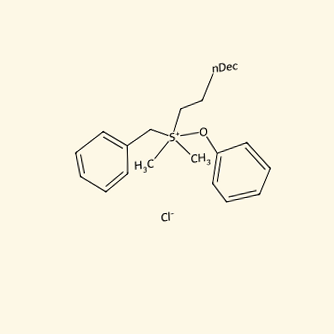 CCCCCCCCCCCC[S+](C)(C)(Cc1ccccc1)Oc1ccccc1.[Cl-]